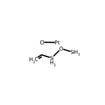 C=C[SiH2]O[SiH3].[Cl][Pt]